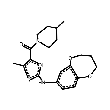 Cc1sc(Nc2ccc3c(c2)OCCCO3)nc1C(=O)N1CCC(C)CC1